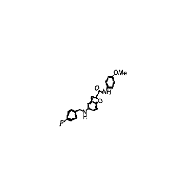 COc1ccc(NC(=O)c2cc3cc(NCc4ccc(F)cc4)ccc3o2)cc1